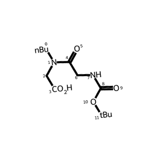 CCCCN(CC(=O)O)C(=O)CNC(=O)OC(C)(C)C